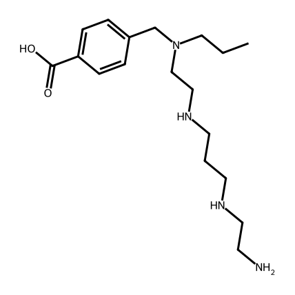 CCCN(CCNCCCNCCN)Cc1ccc(C(=O)O)cc1